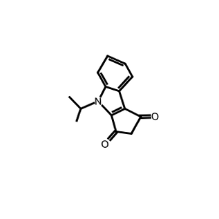 CC(C)n1c2c(c3ccccc31)C(=O)CC2=O